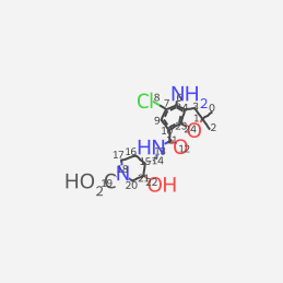 CC1(C)Cc2c(N)c(Cl)cc(C(=O)NC[C@H]3CCN(C(=O)O)C[C@@H]3O)c2O1